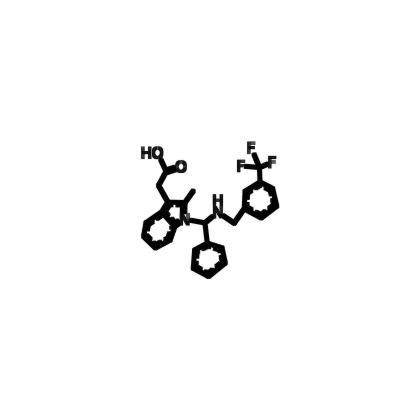 Cc1c(CC(=O)O)c2ccccc2n1C(NCc1cccc(C(F)(F)F)c1)c1ccccc1